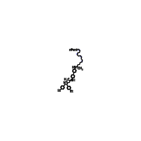 C=C(CCC/C=C\C/C=C\C/C=C\C/C=C\CCCCC)Nc1ccc(-c2ccc(NC(=C)CC3=C(c4ccc(CC)cc4)C(c4ccc(CC)cc4)=NC3)cc2)cc1